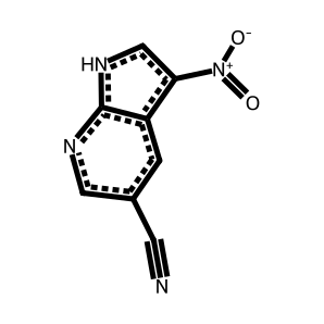 N#Cc1cnc2[nH]cc([N+](=O)[O-])c2c1